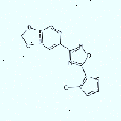 Clc1ccsc1-c1nc(-c2ccc3c(c2)OCO3)no1